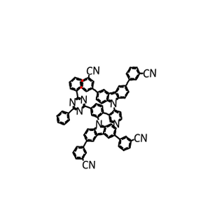 N#Cc1cccc(-c2ccc3c(c2)c2cc(-c4cccc(C#N)c4)ccc2n3-c2ccncc2-c2ccc(-c3nc(-c4ccccc4)nc(-c4ccccc4)n3)cc2-n2c3ccc(-c4cccc(C#N)c4)cc3c3cc(-c4cccc(C#N)c4)ccc32)c1